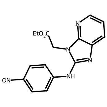 CCOC(=O)Cn1c(Nc2ccc(N=O)cc2)nc2cccnc21